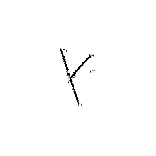 CCCCCCCCCCCCCCCCCCOC(=O)C[CH2][Sn+]([CH2]CC(=O)OCCCCCCCCCCCCCCCCCC)[CH2]CC(=O)OCCCCCCCCCCCCCCCCCC.[Cl-]